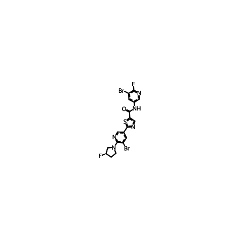 O=C(Nc1cnc(F)c(Br)c1)c1cnc(-c2cnc(N3CC[C@@H](F)C3)c(Br)c2)s1